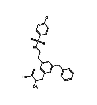 CC(Cc1cc(CCNS(=O)(=O)c2ccc(Cl)cc2)cc(Cc2cccnc2)c1)C(=O)O